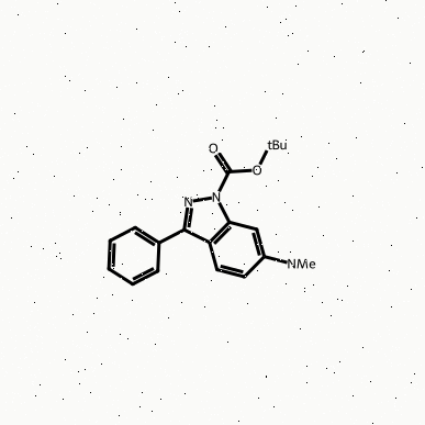 CNc1ccc2c(-c3ccccc3)nn(C(=O)OC(C)(C)C)c2c1